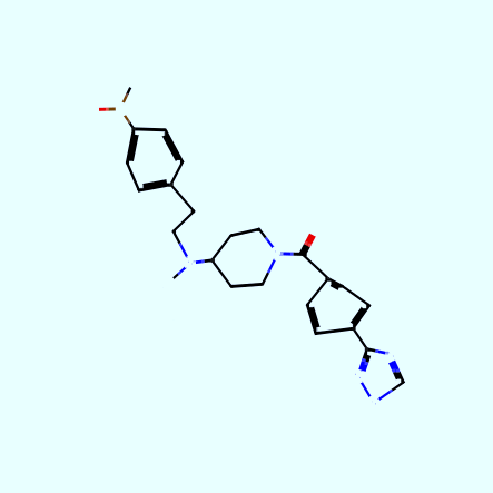 CN(CCc1ccc([S+](C)[O-])cc1)C1CCN(C(=O)c2ccc(-c3nc[nH]n3)cc2)CC1.Cl